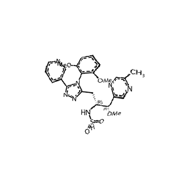 COc1cccc(OC)c1-n1c(C[C@@H](N[SH](=O)=O)[C@@H](OC)c2cnc(C)cn2)nnc1-c1cccnc1